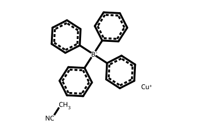 CC#N.[Cu+].c1ccc([B-](c2ccccc2)(c2ccccc2)c2ccccc2)cc1